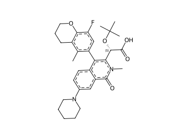 Cc1c(-c2c([C@H](OC(C)(C)C)C(=O)O)n(C)c(=O)c3cc(N4CCCCC4)ccc23)cc(F)c2c1CCCO2